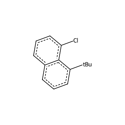 CC(C)(C)c1cccc2cccc(Cl)c12